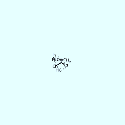 C=C.Cl.Cl.ClCCl